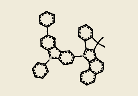 CC1(C)c2ccccc2-c2c1c1ccc3ccccc3c1n2-c1ccc2c(c1)c1cc(-c3ccccc3)ccc1n2-c1ccccc1